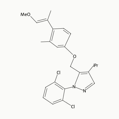 COC=C(C)c1ccc(OCc2c(C(C)C)cnn2-c2c(Cl)cccc2Cl)cc1C